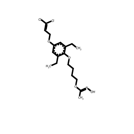 CCc1cc(OCC=C(Cl)Cl)cc(CC)c1OCCCCOC(C)=NO